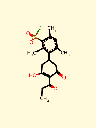 CCC(=O)C1=C(O)CC(c2c(C)cc(C)c(S(=O)(=O)Cl)c2C)CC1=O